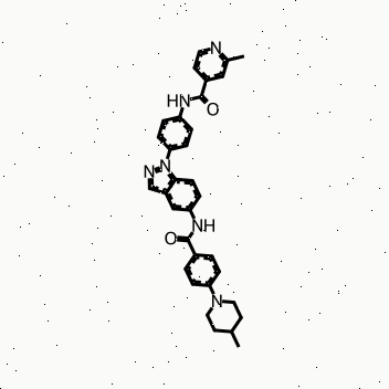 Cc1cc(C(=O)Nc2ccc(-n3ncc4cc(NC(=O)c5ccc(N6CCC(C)CC6)cc5)ccc43)cc2)ccn1